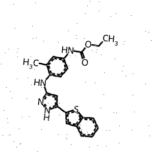 CCOC(=O)Nc1ccc(Nc2cc(-c3cc4ccccc4s3)[nH]n2)c(C)c1